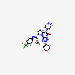 Cc1cc(C(F)(F)F)ccc1NC(=O)[C@@H]1CCc2c(N3CCNCC3)c(=O)n3nc(C4=CCOCC4)nc3n21